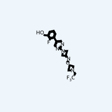 OCc1cccc(-c2cnc(N3CC(=NOC4CN(CC(F)(F)F)C4)C3)nc2)c1F